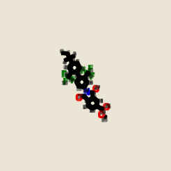 CCC(C)(C)c1ccc(-c2ccc(N3C(=O)c4ccc(C(=O)OC)cc4C3=O)cc2C(F)(F)F)c(C(F)(F)F)c1